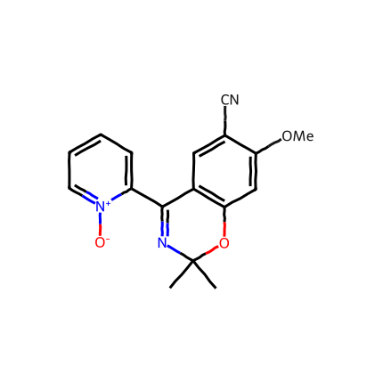 COc1cc2c(cc1C#N)C(c1cccc[n+]1[O-])=NC(C)(C)O2